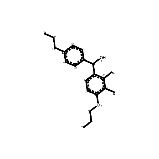 CCCOc1ccc(C(O)c2ccc(CCC)cc2)c(C)c1C